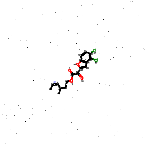 C/C=C\C(C)CCOC(=O)C(=O)c1cc2c(Cl)c(Cl)ccc2o1